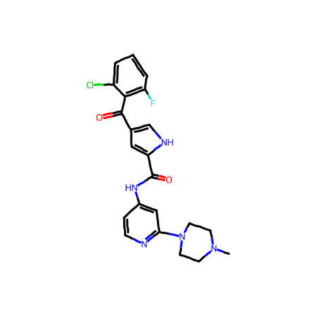 CN1CCN(c2cc(NC(=O)c3cc(C(=O)c4c(F)cccc4Cl)c[nH]3)ccn2)CC1